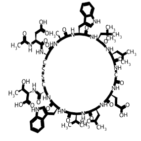 CC(=O)N[C@@H](CC(=O)O)C(=O)N[C@H]1CSSC[C@@H](C(=O)N[C@H](C(=O)O)[C@@H](C)O)NC(=O)[C@H](Cc2c[nH]c3ccccc23)NC(=O)[C@H](C(C)C)NC(=O)[C@H](CC(C)C)NC(=O)[C@H](CCC(=O)O)NC(=O)CNC(=O)[C@H](CC(C)C)NC(=O)[C@H](CC(C)(C)C)NC(=O)[C@H](Cc2c[nH]c3ccccc23)NC(=O)[C@H](C)NC1=O